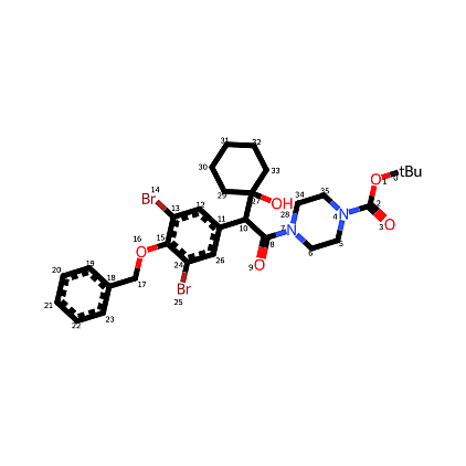 CC(C)(C)OC(=O)N1CCN(C(=O)C(c2cc(Br)c(OCc3ccccc3)c(Br)c2)C2(O)CCCCC2)CC1